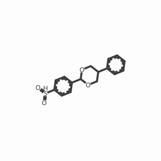 O=[SH](=O)c1ccc(C2OCC(c3ccccc3)CO2)cc1